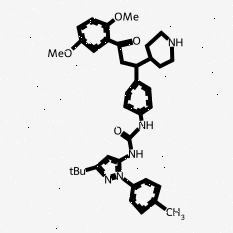 COc1ccc(OC)c(C(=O)CC(c2ccc(NC(=O)Nc3cc(C(C)(C)C)nn3-c3ccc(C)cc3)cc2)C2CCNCC2)c1